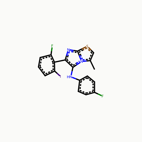 Cc1csc2nc(-c3c(F)cccc3I)c(Nc3ccc(F)cc3)n12